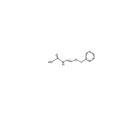 O=C(O)N/C=C/OCc1ccccc1